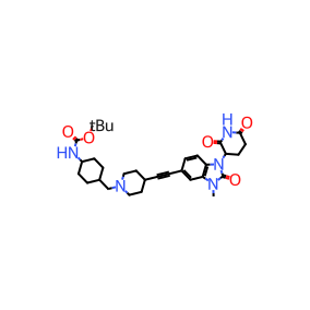 Cn1c(=O)n(C2CCC(=O)NC2=O)c2ccc(C#CC3CCN(CC4CCC(NC(=O)OC(C)(C)C)CC4)CC3)cc21